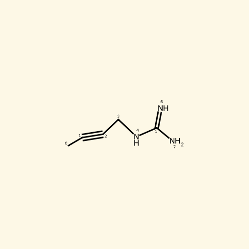 CC#CCNC(=N)N